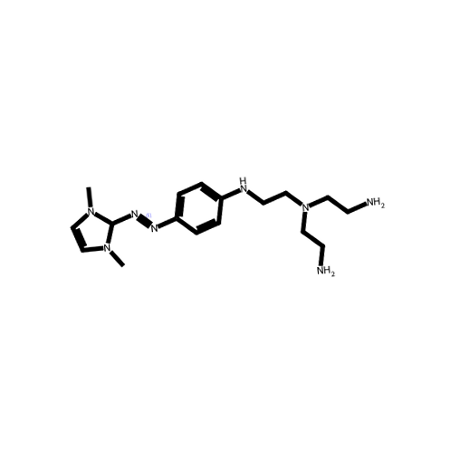 CN1C=CN(C)C1/N=N/c1ccc(NCCN(CCN)CCN)cc1